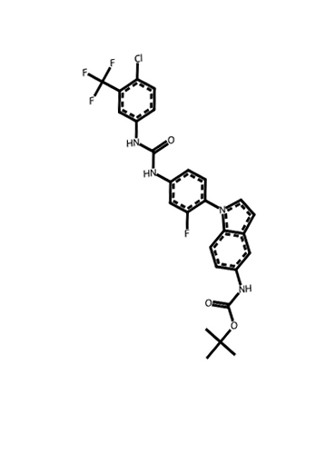 CC(C)(C)OC(=O)Nc1ccc2c(ccn2-c2ccc(NC(=O)Nc3ccc(Cl)c(C(F)(F)F)c3)cc2F)c1